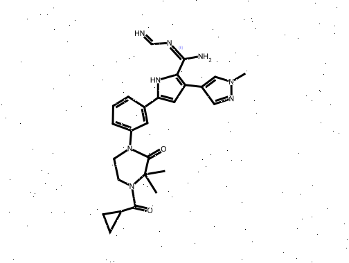 Cn1cc(-c2cc(-c3cccc(N4CCN(C(=O)C5CC5)C(C)(C)C4=O)c3)[nH]c2/C(N)=N\C=N)cn1